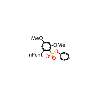 CCCCCc1cc(OC)cc(OC)c1S(=O)(=O)Oc1ccccc1